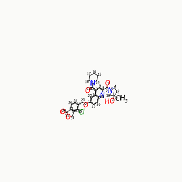 C[C@@]1(O)CCN(C(=O)c2cc(C(=O)N3CCCCC3)c3cc(OCc4ccc5c(c4Cl)COC5=O)ccc3n2)C1